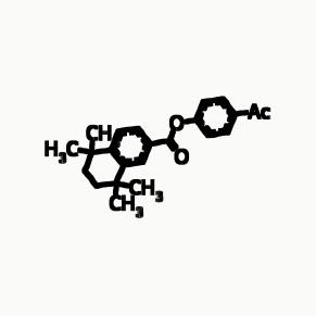 CC(=O)c1ccc(OC(=O)c2ccc3c(c2)C(C)(C)CCC3(C)C)cc1